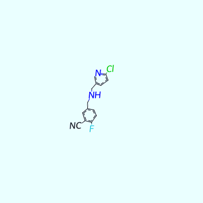 N#Cc1cc(CNCc2ccc(Cl)nc2)ccc1F